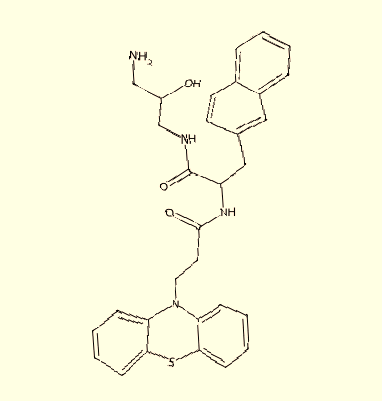 NCC(O)CNC(=O)C(Cc1ccc2ccccc2c1)NC(=O)CCN1c2ccccc2Sc2ccccc21